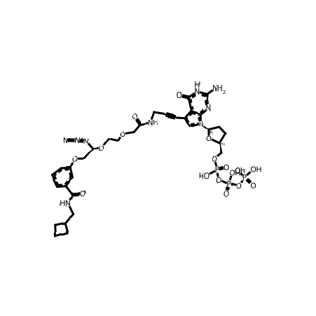 [N-]=[N+]=NC(COc1cccc(C(=O)NCC2CCC2)c1)OCCOCC(=O)NCC#Cc1cn([C@H]2CC[C@@H](COP(=O)(O)OP(=O)(O)OP(=O)(O)O)O2)c2nc(N)[nH]c(=O)c12